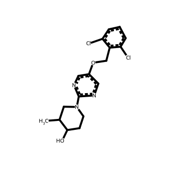 CC1CN(c2ncc(OCc3c(Cl)cccc3Cl)cn2)CCC1O